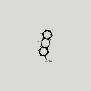 O=Cc1ccc2c(c1)Oc1ccccc1O2